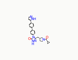 O=C(C1CC1)N1CC[C@@H](Cc2n[nH]c(=O)n2-c2ccc(-c3ccc(-c4ccn[nH]4)cc3)cc2)C1